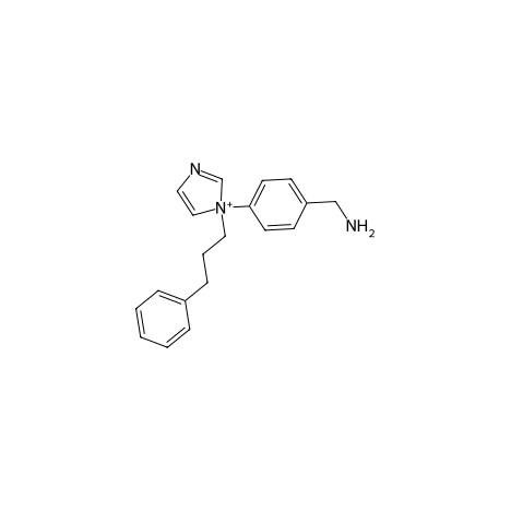 NCc1ccc([N+]2(CCCc3ccccc3)C=CN=C2)cc1